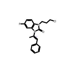 C/C(=C\c1ccccc1)n1c(=O)n(CCCCl)c2ccc(F)cc21